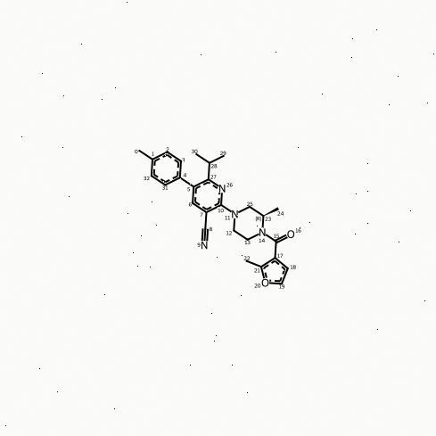 Cc1ccc(-c2cc(C#N)c(N3CCN(C(=O)c4ccoc4C)[C@H](C)C3)nc2C(C)C)cc1